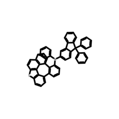 c1ccc(N(c2ccc3c(c2)-c2ccccc2C3(c2ccccc2)c2ccccc2)c2cccc3c2-c2cccc4ccc5sc6cccc-3c6c5c24)cc1